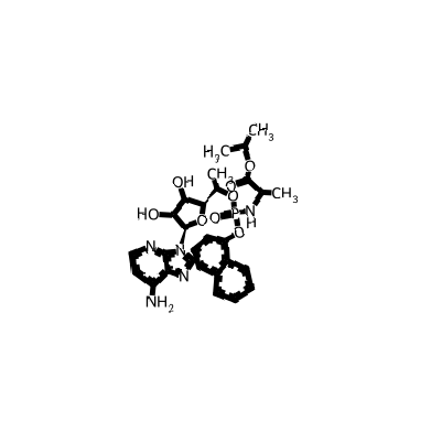 CC(C)OC(=O)C(C)NP(=O)(Oc1cccc2ccccc12)OC(C)[C@H]1O[C@@H](n2cnc3c(N)ccnc32)C(O)C1O